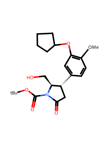 COc1ccc([C@@H]2CC(=O)N(C(=O)OC(C)(C)C)[C@H]2CO)cc1OC1CCCC1